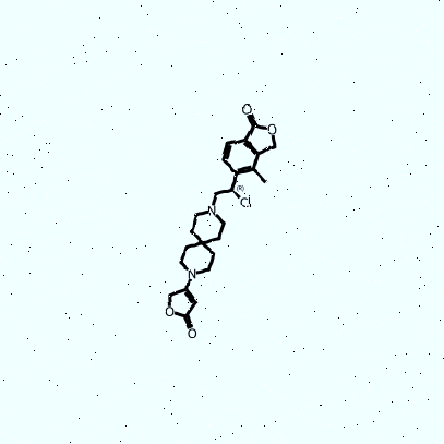 Cc1c([C@@H](Cl)CN2CCC3(CC2)CCN(C2=CC(=O)OC2)CC3)ccc2c1COC2=O